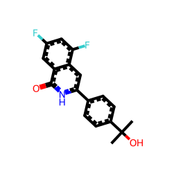 CC(C)(O)c1ccc(-c2cc3c(F)cc(F)cc3c(=O)[nH]2)cc1